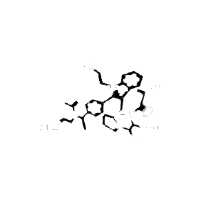 C=C(C)N(CCO)C(=C)c1ccc(-c2c(C[C@@H]3CCCN3C(=O)C(NC(=O)[C@H](C)NC)C(C)(C)C)c3ccccc3n2CCO)cc1